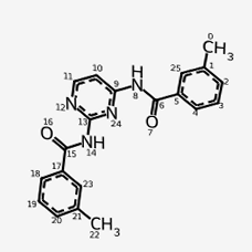 Cc1cccc(C(=O)Nc2ccnc(NC(=O)c3cccc(C)c3)n2)c1